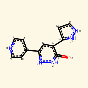 O=c1[nH]nc(-c2ccncc2)cc1-c1ccn[nH]1